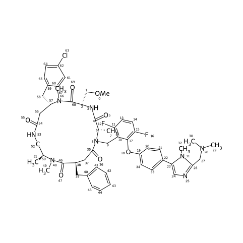 COC[C@@H]1NC(=O)[C@H](C)N(Cc2c(F)ccc(F)c2Oc2ccc(-c3cnc(CN(C)C)n3C)cc2)C(=O)C[C@@H](Cc2ccccc2)C(=O)N(C)[C@@H](C)CNC(=O)C[C@H](Cc2ccc(Cl)cc2)N(C)C1=O